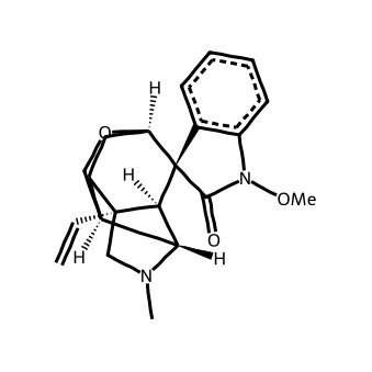 C=C[C@@]12CN(C)[C@H]3[C@@H]1[C@@]1(C(=O)N(OC)c4ccccc41)[C@H]1CC2[C@@H]3CO1